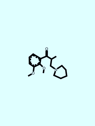 COc1cccc(C(=O)C(C)CN2CCCCC2)c1OC